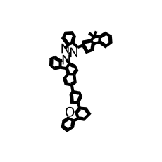 CC1(C)c2ccccc2-c2ccc(-c3nc(-n4c5ccccc5c5c6ccc(-c7ccc(-c8cccc9c8oc8ccccc89)cc7)cc6ccc54)nc4ccccc34)cc21